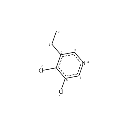 CCc1cncc(Cl)c1Cl